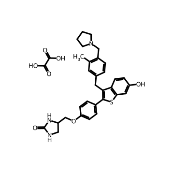 Cc1cc(Cc2c(-c3ccc(OCC4CNC(=O)N4)cc3)sc3cc(O)ccc23)ccc1CN1CCCC1.O=C(O)C(=O)O